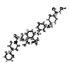 COCC(=O)N1CCC(Nc2cccc(Sc3ccc(/C=C/C(=O)N4CCN(c5ccccn5)CC4)c(C(F)(F)F)c3C(F)(F)F)c2)CC1